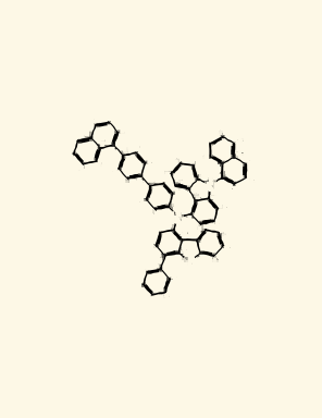 c1ccc(-c2ccc(N(c3ccc(-c4ccc(-c5cccc6ccccc56)cc4)cc3)c3cccc4c3c3ccccc3n4-c3cccc4ccccc34)c3c2sc2ccccc23)cc1